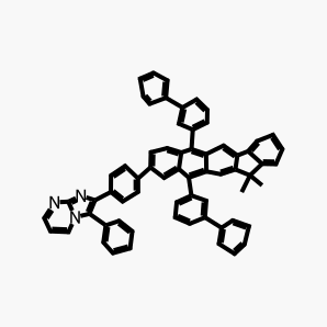 CC1(C)c2ccccc2-c2cc3c(-c4cccc(-c5ccccc5)c4)c4ccc(-c5ccc(-c6nc7ncccn7c6-c6ccccc6)cc5)cc4c(-c4cccc(-c5ccccc5)c4)c3cc21